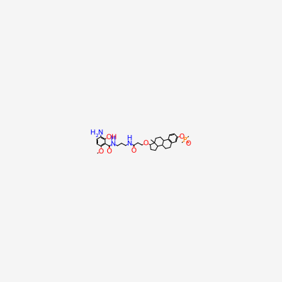 COc1ccc(N)c(O)c1C(=O)NCCCNC(=O)CCOC1CCC2C3CCc4cc(OP(C)(C)=O)ccc4C3CCC12C